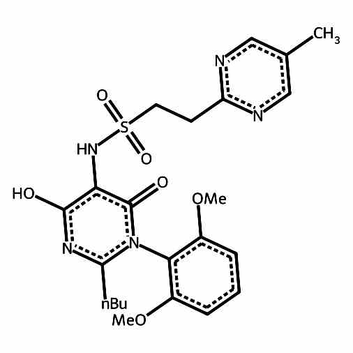 CCCCc1nc(O)c(NS(=O)(=O)CCc2ncc(C)cn2)c(=O)n1-c1c(OC)cccc1OC